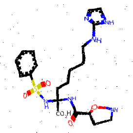 O=C(NC(CCCCCNc1ncc[nH]1)(NS(=O)(=O)c1ccccc1)C(=O)O)C1CCNO1